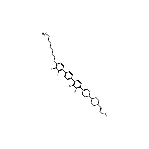 C/C=C/C1CCC(C2CC=C(c3ccc(-c4ccc(-c5ccc(CCCCCCCCC)c(F)c5F)cc4)c(F)c3F)CC2)CC1